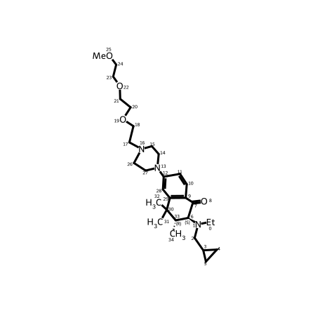 CCN(CC1CC1)[C@@H]1C(=O)c2ccc(N3CCN(CCOCCOCCOC)CC3)cc2C(C)(C)[C@H]1C